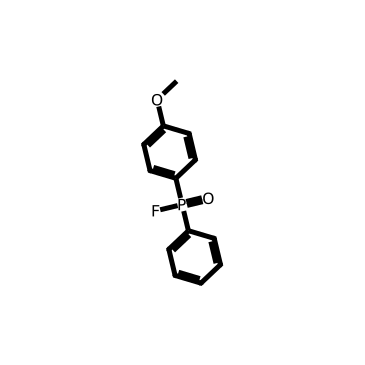 COc1ccc(P(=O)(F)c2ccccc2)cc1